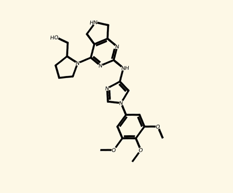 COc1cc(-n2cnc(Nc3nc4c(c(N5CCCC5CO)n3)CNC4)c2)cc(OC)c1OC